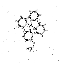 CSc1ccc2c(c1)C1(c3ccccc3-c3ccccc31)c1ccccc1-2